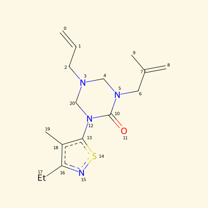 C=CCN1CN(CC(=C)C)C(=O)N(c2snc(CC)c2C)C1